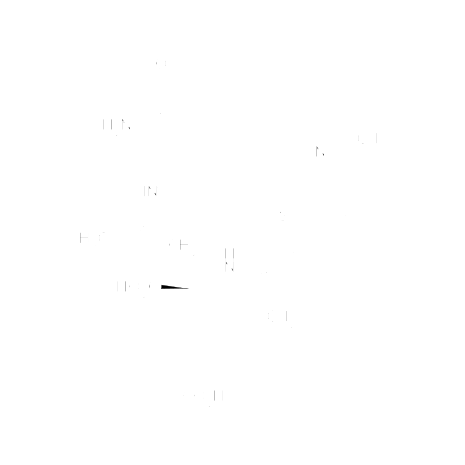 C=C(C)Nc1ccc(CN(C)c2ccc(C(=C)N[C@@H](CCC(=O)O)C(=O)O)s2)cc1C(N)=O